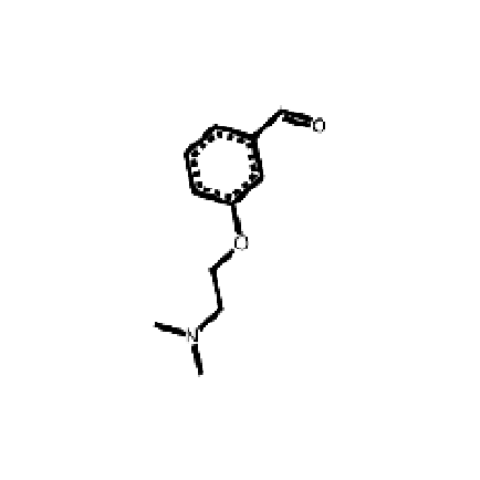 CN(C)CCOc1cccc([C]=O)c1